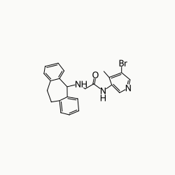 Cc1c(Br)cncc1NC(=O)CNC1c2ccccc2CCc2ccccc21